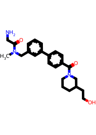 CN(Cc1cccc(-c2ccc(C(=O)N3CCCC(CCO)C3)cc2)c1)C(=O)CN